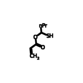 C=CC(=O)OC(S)CCC